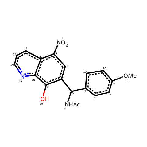 COc1ccc(C(NC(C)=O)c2cc([N+](=O)[O-])c3cccnc3c2O)cc1